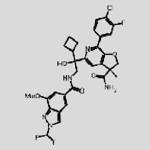 COc1cc(C(=O)NCC(O)(c2cc3c(c(-c4ccc(Cl)c(F)c4)n2)OC[C@]3(C)C(N)=O)C2CCC2)cc2cn(C(F)F)nc12